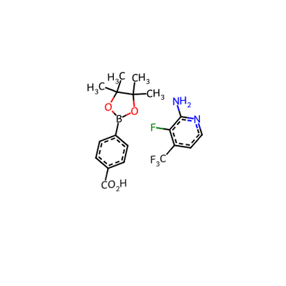 CC1(C)OB(c2ccc(C(=O)O)cc2)OC1(C)C.Nc1nccc(C(F)(F)F)c1F